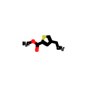 [CH2]Cc1csc(C(=O)OC)c1